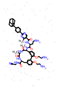 Cc1nc(-c2ccc(C3C4CC5CC(C4)CC3C5)cc2)ncc1C(=O)NC(CCN)C(=O)N(C)C1C(=O)NC(C)C(=O)NC(C(=O)NCC#N)Cc2ccc(OCCN)c(c2)-c2cc1ccc2OCCN